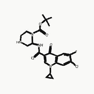 CC(C)(C)OC(=O)N1CCNCC1NC(=O)c1cn(C2CC2)c2cc(Cl)c(F)cc2c1=O